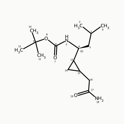 CC(C)C[C@H](NC(=O)OC(C)(C)C)C1CC1CC(N)=O